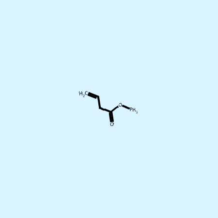 C=CCC(=O)OP